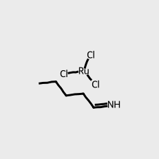 CCCCC=N.[Cl][Ru]([Cl])[Cl]